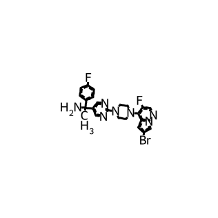 CC(N)(c1ccc(F)cc1)c1cnc(N2CCN(c3c(F)cnn4cc(Br)cc34)CC2)nc1